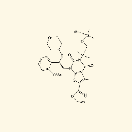 COc1ccccc1[C@H](Cn1c(=O)n(C(C)(C)CO[Si](C)(C)C(C)(C)C)c(=O)c2c(C)c(-c3ncco3)sc21)OC1CCOCC1